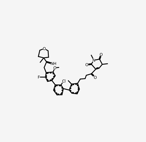 COc1cc(-c2cccc(-c3cccc(CCCC(=O)C4=CC(C)C(=O)N(C)C4=O)c3C)c2Cl)cc(F)c1CC(=N)C1(C)CCOCC1